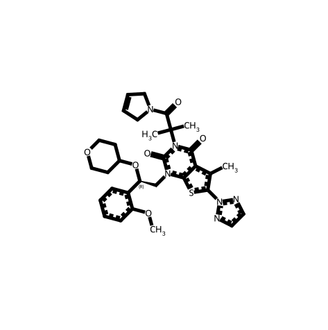 COc1ccccc1[C@H](Cn1c(=O)n(C(C)(C)C(=O)N2CC=CC2)c(=O)c2c(C)c(-n3nccn3)sc21)OC1CCOCC1